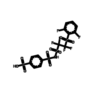 O=S(=O)(O)c1ccc(S(=O)(=O)NS(=O)(=O)C(F)(F)C(F)(F)S(=O)(=O)c2c(F)cccc2F)cc1